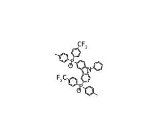 Cc1ccc(P(=O)(c2ccc(C(F)(F)F)cc2)c2ccc3c(c2)c2cc(P(=O)(c4ccc(C)cc4)c4ccc(C(F)(F)F)cc4)ccc2n3-c2ccccc2)cc1